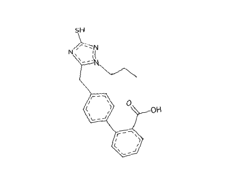 CCCn1nc(S)nc1Cc1ccc(-c2ccccc2C(=O)O)cc1